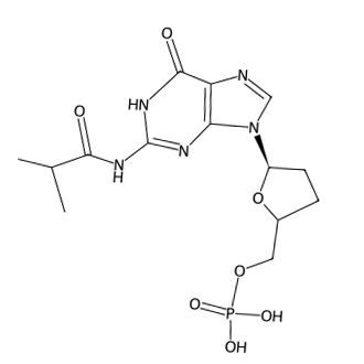 CC(C)C(=O)Nc1nc2c(ncn2[C@H]2CCC(COP(=O)(O)O)O2)c(=O)[nH]1